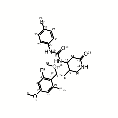 COc1cc(F)c([C@@H](CC2CNC(=O)CC2NC(=O)Nc2ccc(Br)cc2)OC)c(F)c1